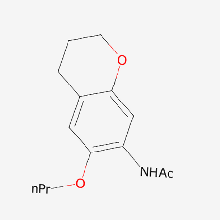 CCCOc1cc2c(cc1NC(C)=O)OCCC2